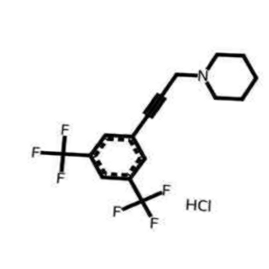 Cl.FC(F)(F)c1cc(C#CCN2CCCCC2)cc(C(F)(F)F)c1